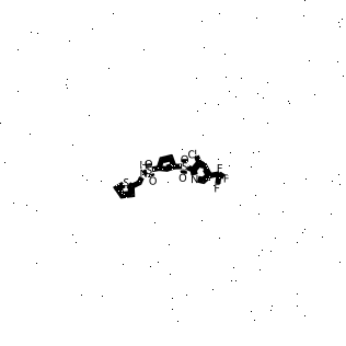 O=S(=O)(C1=CC(S(=O)(=O)NCc2cccs2)C=C1)c1ncc(C(F)(F)F)cc1Cl